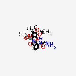 CCOc1cc(C(CS(C)(=O)=O)N2C(=O)c3cccc(NC(=O)CN)c3C2=O)ccc1OC